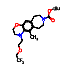 Cc1c2c(cc3c1N(CCOCC(F)(F)F)CCO3)CCN(C(=O)OC(C)(C)C)CC2